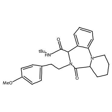 COc1ccc(CCN2C(=O)C3CCCCN3c3ccccc3C2C(=O)NC(C)(C)C)cc1